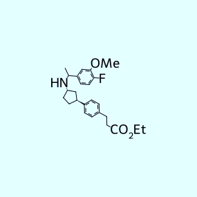 CCOC(=O)CCc1ccc([C@H]2CC[C@H](NC(C)c3ccc(F)c(OC)c3)C2)cc1